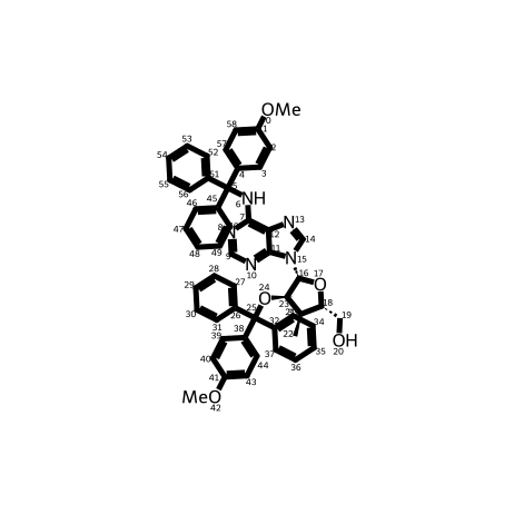 COc1ccc(C(Nc2ncnc3c2ncn3[C@@H]2O[C@H](CO)[C@@H](C)[C@H]2OC(c2ccccc2)(c2ccccc2)c2ccc(OC)cc2)(c2ccccc2)c2ccccc2)cc1